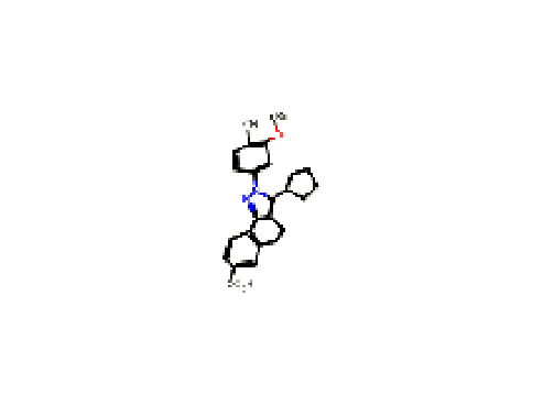 CCCCOc1cc(N2N=C3c4ccc(C(=O)O)cc4CCC3C2C2CCCC2)ccc1C#N